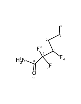 CCCC(F)C(F)(F)C(N)=O